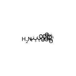 NCCCCCC(=O)OC(=O)ON1C(=O)CCC1=O